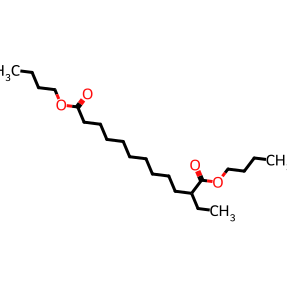 CCCCOC(=O)CCCCCCCCCC(CC)C(=O)OCCCC